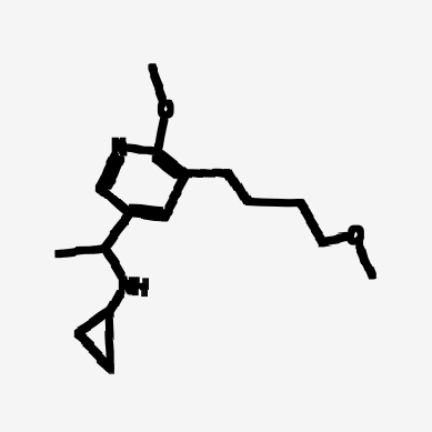 COCCCCc1cc(C(C)NC2CC2)cnc1OC